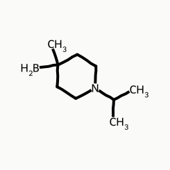 BC1(C)CCN(C(C)C)CC1